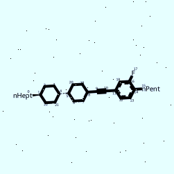 CCCCCCC[C@H]1CC[C@H](C2CCC(C#Cc3ccc(CCCCC)c(F)c3)CC2)CC1